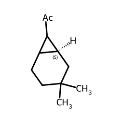 CC(=O)C1C2CCC(C)(C)C[C@@H]21